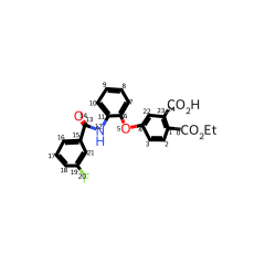 CCOC(=O)c1ccc(Oc2ccccc2NC(=O)c2cccc(F)c2)cc1C(=O)O